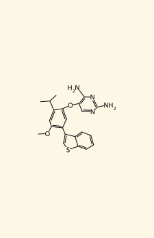 COc1cc(C(C)C)c(Oc2cnc(N)nc2N)cc1-c1csc2ccccc12